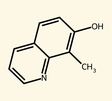 Cc1c(O)ccc2cccnc12